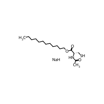 CCCCCCCCCCCCOC(=O)[C@H](CS)NC(C)=O.[NaH]